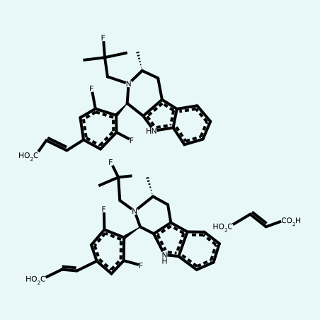 C[C@@H]1Cc2c([nH]c3ccccc23)[C@@H](c2c(F)cc(C=CC(=O)O)cc2F)N1CC(C)(C)F.C[C@@H]1Cc2c([nH]c3ccccc23)[C@@H](c2c(F)cc(C=CC(=O)O)cc2F)N1CC(C)(C)F.O=C(O)C=CC(=O)O